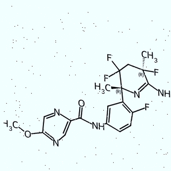 COc1cnc(C(=O)Nc2ccc(F)c([C@@]3(C)N=C(N)[C@](C)(F)CC3(F)F)c2)cn1